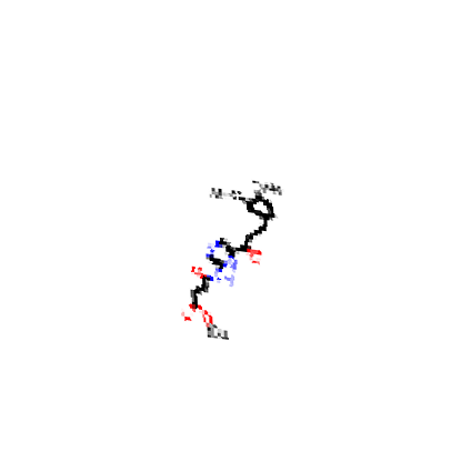 COc1ccc(CCC(=O)c2cncc(NC(=O)CCC(=O)OC(C)(C)C)n2)cc1OC